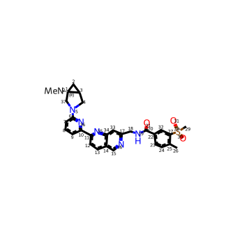 CN[C@]12CC1CN(c1cccc(-c3ccc4cnc(CNC(=O)c5ccc(C)c(S(C)(=O)=O)c5)cc4n3)n1)C2